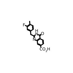 Cc1ccc(Cc2nc3cc(C(=O)O)ccc3c(=O)[nH]2)cc1F